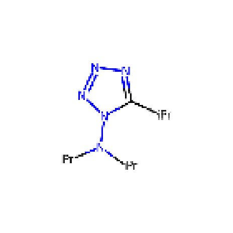 CC(C)c1nnnn1N(C(C)C)C(C)C